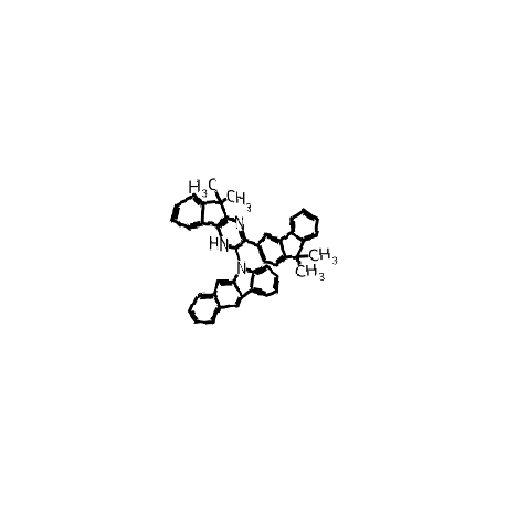 CC1(C)C2=C(NC(n3c4ccccc4c4cc5ccccc5cc43)C(c3ccc4c(c3)-c3ccccc3C4(C)C)=N2)c2ccccc21